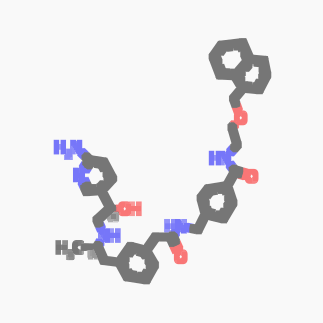 C[C@H](Cc1cccc(CC(=O)NCc2ccc(C(=O)NCCOCc3cccc4ccccc34)cc2)c1)NC[C@H](O)c1ccc(N)nc1